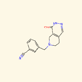 N#Cc1cccc(CN2CCc3cn[nH]c(=O)c3C2)c1